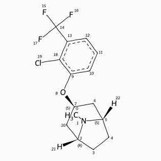 CN1[C@@H]2CC[C@H]1C[C@H](Oc1cccc(C(F)(F)F)c1Cl)C2